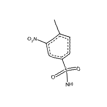 Cc1ccc(S([NH])(=O)=O)cc1[N+](=O)[O-]